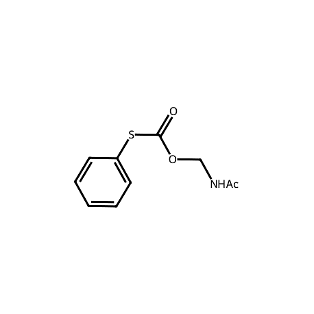 [CH2]C(=O)NCOC(=O)Sc1ccccc1